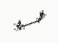 Cc1csc2c1C(c1ccc(Cl)cc1)=N[C@@H](CC(=O)NCCOCCOCCOCCOCCNC(=O)c1ccc(S(=O)(=O)Nc3ccc(C)c4c(C#N)c[nH]c34)cc1)c1nnc(C)n1-2